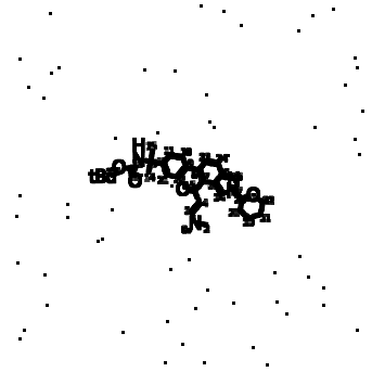 CN(C)/C=C/C(=O)c1c(-c2ccc(C(C)(C)NC(=O)OC(C)(C)C)cc2)ccc2nn(C3CCCCO3)cc12